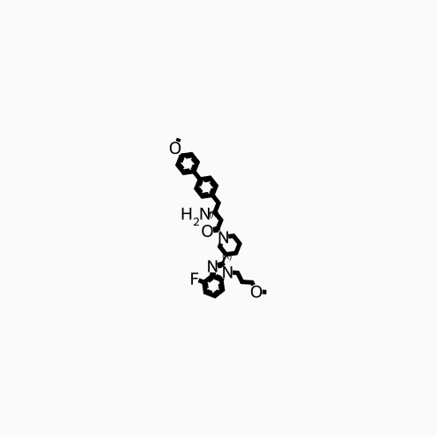 COCCCn1c([C@@H]2CCCN(C(=O)C[C@H](N)Cc3ccc(-c4ccc(OC)cc4)cc3)C2)nc2c(F)cccc21